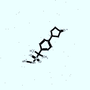 CCCNS(=O)(=O)C(C)(C)c1ccc(C2CCC(=O)C2)cc1